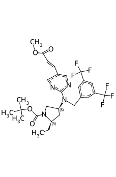 CC[C@@H]1C[C@H](N(Cc2cc(C(F)(F)F)cc(C(F)(F)F)c2)c2ncc(C=CC(=O)OC)cn2)CN1C(=O)OC(C)(C)C